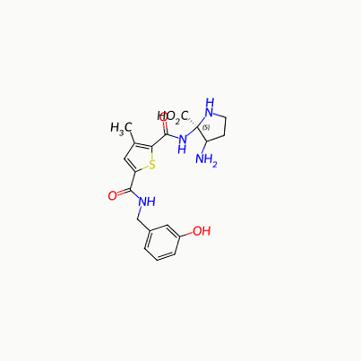 Cc1cc(C(=O)NCc2cccc(O)c2)sc1C(=O)N[C@@]1(C(=O)O)NCCC1N